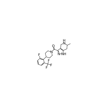 CC1Cc2[nH]nc(C(=O)N3CCC(c4c(F)cccc4C(F)(F)F)CC3)c2CN1